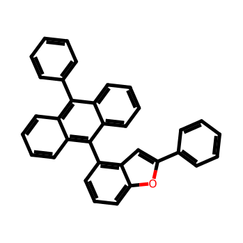 c1ccc(-c2cc3c(-c4c5ccccc5c(-c5ccccc5)c5ccccc45)cccc3o2)cc1